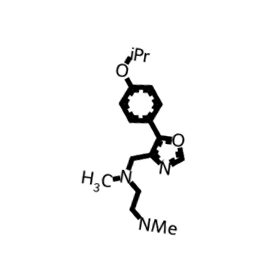 CNCCN(C)Cc1ncoc1-c1ccc(OC(C)C)cc1